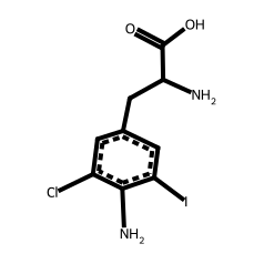 Nc1c(Cl)cc(CC(N)C(=O)O)cc1I